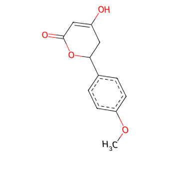 COc1ccc(C2CC(O)=CC(=O)O2)cc1